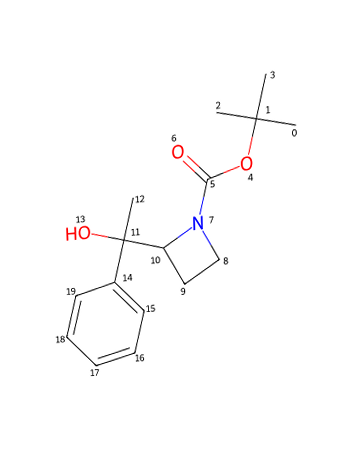 CC(C)(C)OC(=O)N1CCC1C(C)(O)c1ccccc1